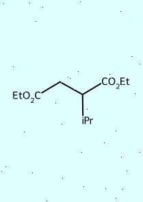 CCOC(=O)CC(C(=O)OCC)C(C)C